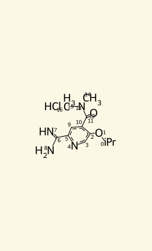 CC(C)Oc1cnc(C(=N)N)cc1C(=O)N(C)C.Cl